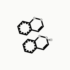 C1=Cc2ccccc2OO1.C1=Cc2ccccc2OO1.Cl